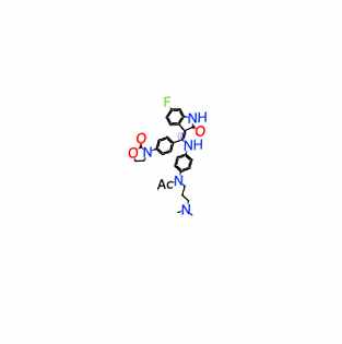 CC(=O)N(CCCN(C)C)c1ccc(N/C(=C2\C(=O)Nc3cc(F)ccc32)c2ccc(N3CCOC3=O)cc2)cc1